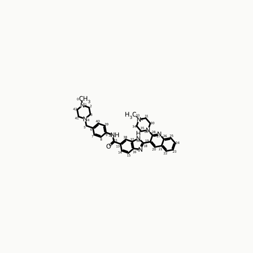 CN1CCN(Cc2ccc(NC(=O)c3ccc4nc(-c5cc6ccccc6nc5N5CCN(C)CC5)[nH]c4c3)cc2)CC1